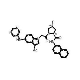 CC(=O)c1cn(CC(=O)N2C[C@H](F)C[C@H]2C(=O)Nc2ccc3ccccc3c2)c2ccc(Nc3cncnc3)cc12